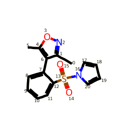 Cc1noc(C)c1-c1ccccc1S(=O)(=O)n1cccc1